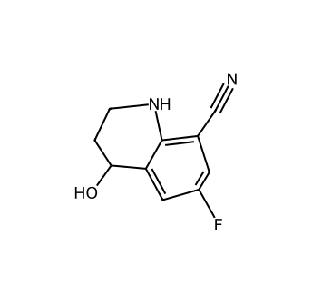 N#Cc1cc(F)cc2c1NCCC2O